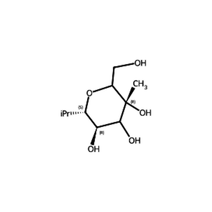 CC(C)[C@@H]1OC(CO)[C@](C)(O)C(O)[C@H]1O